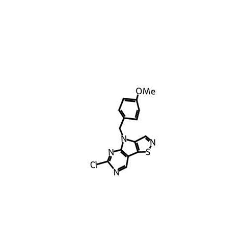 COc1ccc(Cn2c3cnsc3c3cnc(Cl)nc32)cc1